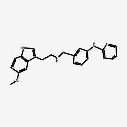 COc1ccc2[nH]cc(CCNCc3cccc(Nc4ccccn4)c3)c2c1